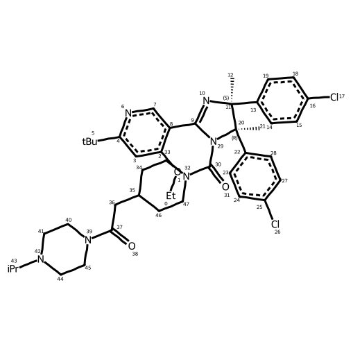 CCOc1cc(C(C)(C)C)ncc1C1=N[C@@](C)(c2ccc(Cl)cc2)[C@@](C)(c2ccc(Cl)cc2)N1C(=O)N1CCC(CC(=O)N2CCN(C(C)C)CC2)CC1